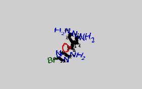 Nc1cc(COc2nc(Br)cnc2N)cc(N)n1